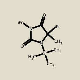 CC(C)N1C(=O)N([Si](C)(C)C)C(C)(C(C)C)C1=O